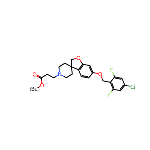 CC(C)(C)OC(=O)CCN1CCC2(CC1)COc1cc(OCc3c(F)cc(Cl)cc3F)ccc12